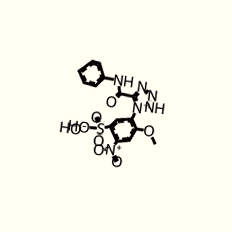 COc1cc([N+](=O)[O-])c(S(=O)(=O)O)cc1-[n+]1[nH]nnc1C(=O)Nc1ccccc1.[OH-]